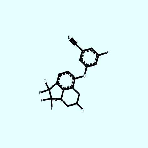 N#Cc1cc(F)cc(Oc2ccc3c4c2CC(F)CC4(O)C(F)(F)C3(F)F)c1